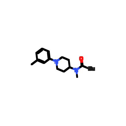 CCC(C)C(=O)N(C)C1CCN(c2cccc(C)c2)CC1